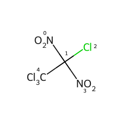 O=[N+]([O-])C(Cl)([N+](=O)[O-])C(Cl)(Cl)Cl